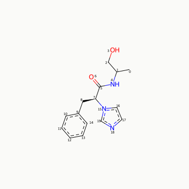 CC(CO)NC(=O)[C@H](Cc1ccccc1)n1ccnc1